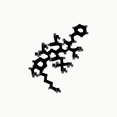 COCCCOc1cc(C[C@@H](C/C(C(=O)OC(C)(C)C)=C(/C[C@H](C(=O)OCc2ccccc2)C(C)C)OC(C)=O)C(C)C)ccc1OC